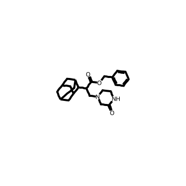 O=C1CN(CC(C(=O)OCc2ccccc2)C2C3CC4CC(C3)CC2C4)CCN1